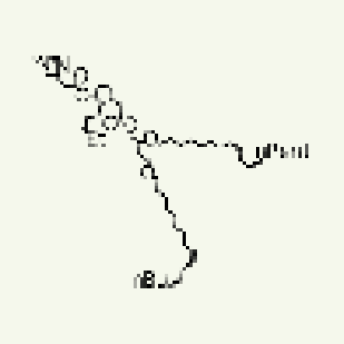 CC/C=C\CC1C(CC(=O)OCC(CCOCCCCCCCC/C=C\C/C=C\CCCC)OCCCCCCC/C=C\C/C=C\CCCCC)CCC1OC(=O)Cc1cn(C)cn1